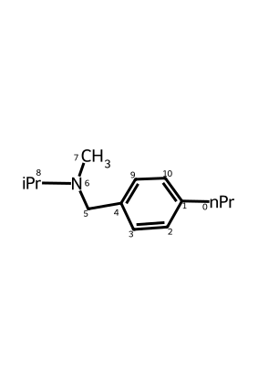 CCCc1ccc(CN(C)C(C)C)cc1